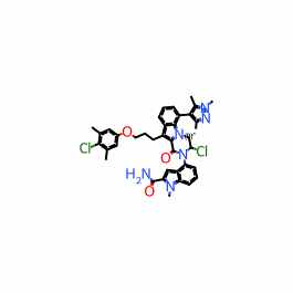 Cc1cc(OCCCc2c3n(c4c(-c5c(C)nn(C)c5C)cccc24)[C@H](C)C(Cl)N(c2cccc4c2cc(C(N)=O)n4C)C3=O)cc(C)c1Cl